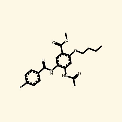 CCCCOc1cc(NC(C)=O)c(NC(=O)c2ccc(F)cc2)cc1C(=O)OC